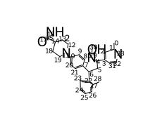 Cc1cc(C(CC(c2ccc(N3CCC(C(N)=O)CC3)cc2)c2ccccc2C)=NO)ccn1